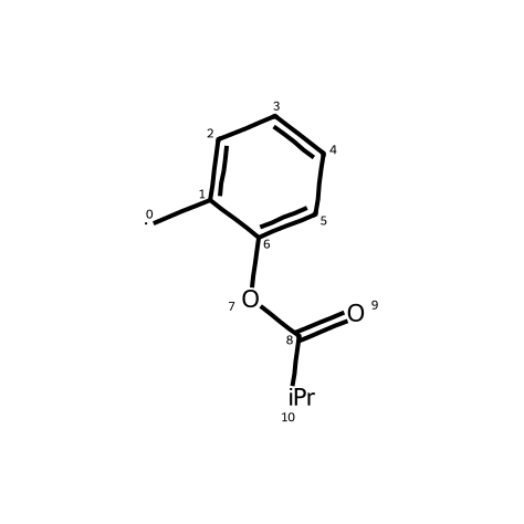 [CH2]c1ccccc1OC(=O)C(C)C